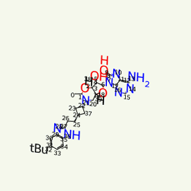 CC1O[C@H]2[C@@H](O)[C@H](n3c(O)nc4c(N)ncnc43)O[C@@H]2CN1[C@H]1C[C@H](CCc2nc3cc(C(C)(C)C)ccc3[nH]2)C1